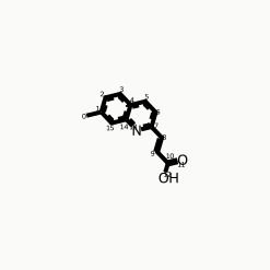 Cc1ccc2ccc(C=CC(=O)O)nc2c1